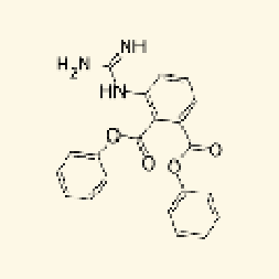 N=C(N)Nc1cccc(C(=O)Oc2ccccc2)c1C(=O)Oc1ccccc1